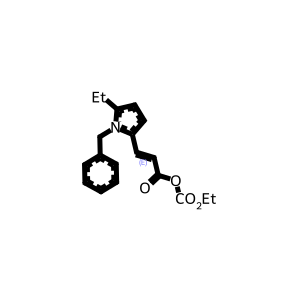 CCOC(=O)OC(=O)/C=C/c1ccc(CC)n1Cc1ccccc1